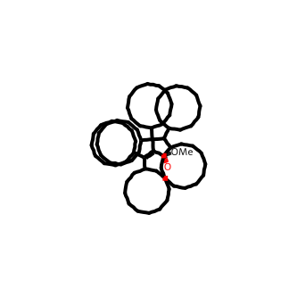 COC(=O)C(=C(C1CCCCCCCCCCC1)C1CCCCCCCCCCC1)C(C1CCCCCCCCCCC1)(C1CCCCCCCCCCC1)C(C1CCCCCCCCCCC1)C1CCCCCCCCCCC1